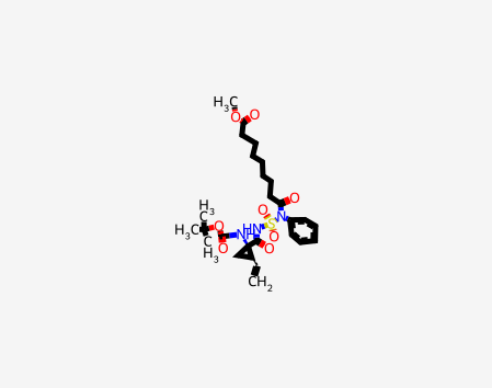 C=C[C@@H]1C[C@]1(NC(=O)OC(C)(C)C)C(=O)NS(=O)(=O)N(C(=O)CCCCCCCC(=O)OC)c1ccccc1